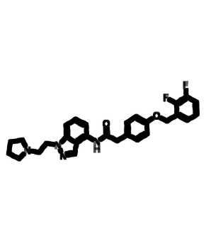 O=C(Cc1ccc(OCc2cccc(F)c2F)cc1)Nc1cccc2c1cnn2CCN1CCCC1